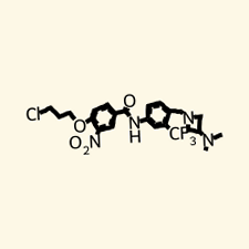 CN(C)C1CN(Cc2ccc(NC(=O)c3ccc(OCCCCl)c([N+](=O)[O-])c3)cc2C(F)(F)F)C1